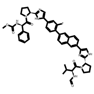 COC(=O)N[C@@H](C(=O)N1CCC[C@H]1c1ncc(-c2ccc(-c3ccc4cc(-c5c[nH]c([C@@H]6CCCN6C(=O)[C@@H](NC=O)C(C)C)n5)ccc4c3)c(F)c2)[nH]1)c1ccccc1